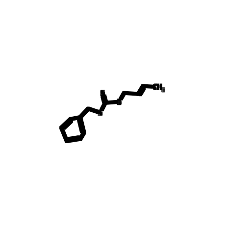 CC=CCSC(=S)SCc1ccccc1